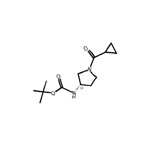 CC(C)(C)OC(=O)N[C@H]1CCN(C(=O)C2CC2)C1